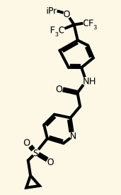 CC(C)OC(c1ccc(NC(=O)Cc2ccc(S(=O)(=O)CC3CC3)cn2)cc1)(C(F)(F)F)C(F)(F)F